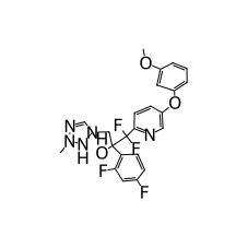 COc1cccc(Oc2ccc(C(F)(F)C(O)(CN3C=NN(C)N3)c3ccc(F)cc3F)nc2)c1